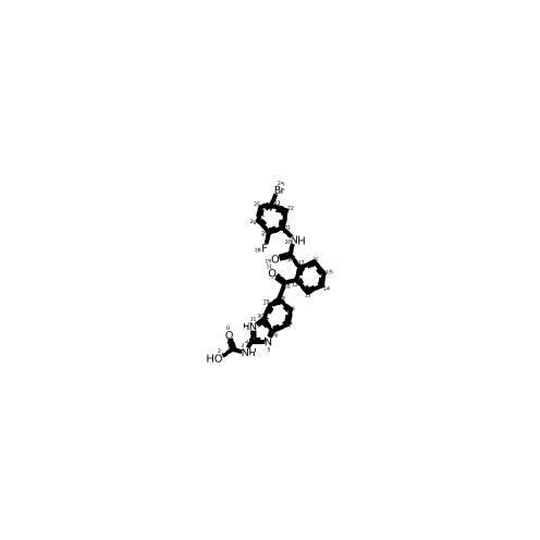 O=C(O)Nc1nc2ccc(C(=O)c3ccccc3C(=O)Nc3cc(Br)ccc3F)cc2[nH]1